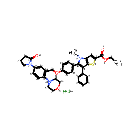 CCOC(=O)c1cc2c(s1)c(-c1ccccc1)c(-c1ccc(OCc3cc(N4CCCC4=O)ccc3N3CCOCC3)cc1)n2C.Cl